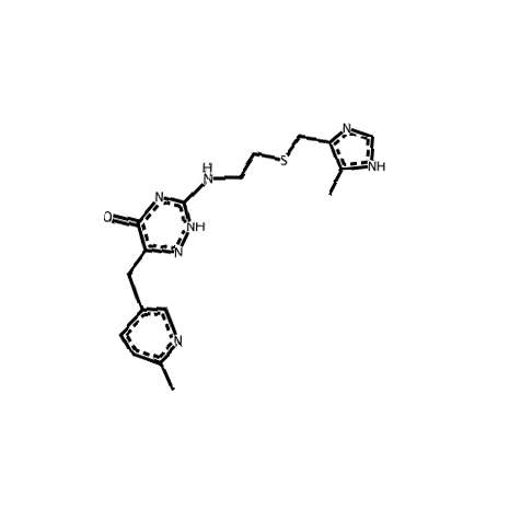 Cc1ccc(Cc2n[nH]c(NCCSCc3nc[nH]c3C)nc2=O)cn1